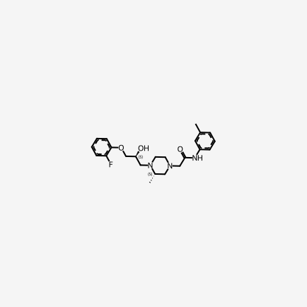 Cc1cccc(NC(=O)CN2CCN(C[C@H](O)COc3ccccc3F)[C@@H](C)C2)c1